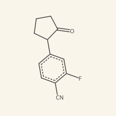 N#Cc1ccc(C2CCCC2=O)cc1F